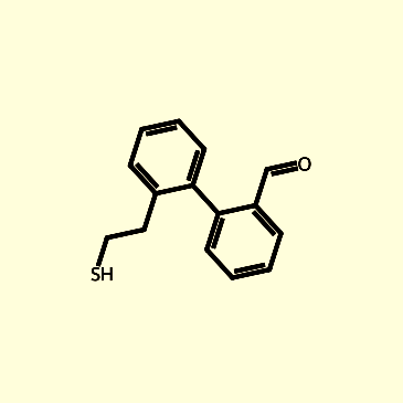 O=Cc1ccccc1-c1ccccc1CCS